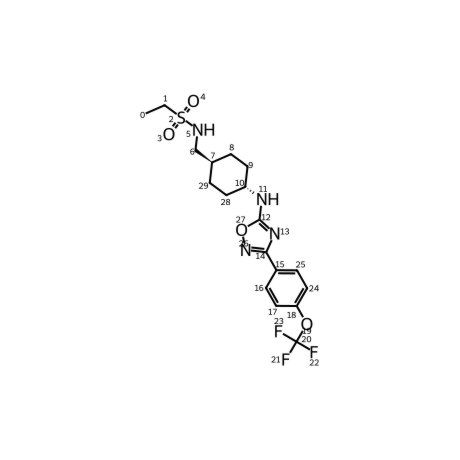 CCS(=O)(=O)NC[C@H]1CC[C@H](Nc2nc(-c3ccc(OC(F)(F)F)cc3)no2)CC1